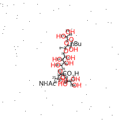 CCCCO[C@H](OC(CO)[C@H](C)OCC(O)[C@@H](O)[C@@H](O)C(O)CO[C@](CC(O)CNC(C)=O)(OC[C@H](O)[C@H](O)CO)C(=O)O)[C@@H](O)CO